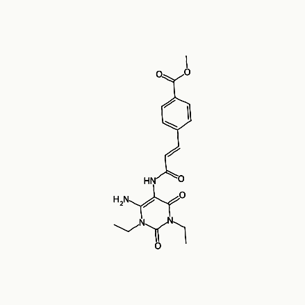 CCn1c(N)c(NC(=O)C=Cc2ccc(C(=O)OC)cc2)c(=O)n(CC)c1=O